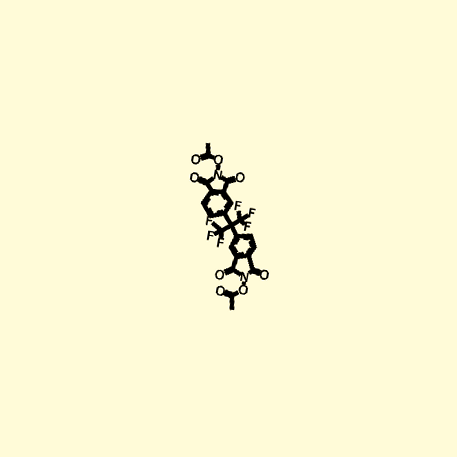 CC(=O)ON1C(=O)c2ccc(C(c3ccc4c(c3)C(=O)N(OC(C)=O)C4=O)(C(F)(F)F)C(F)(F)F)cc2C1=O